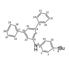 CC(C)(C)c1ccc(Nc2cc(-c3ccccc3)cc(-c3ccccc3)c2)cc1